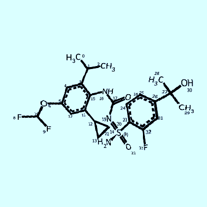 CC(C)c1cc(OC(F)F)cc(C2CC2)c1NC(=O)N=[S@@](N)(=O)c1ccc(C(C)(C)O)cc1F